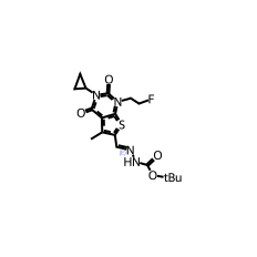 Cc1c(/C=N/NC(=O)OC(C)(C)C)sc2c1c(=O)n(C1CC1)c(=O)n2CCF